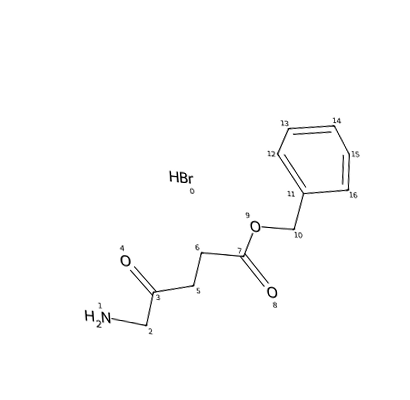 Br.NCC(=O)CCC(=O)OCc1ccccc1